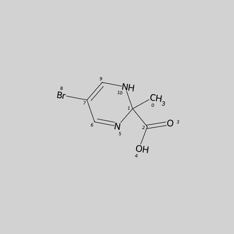 CC1(C(=O)O)N=CC(Br)=CN1